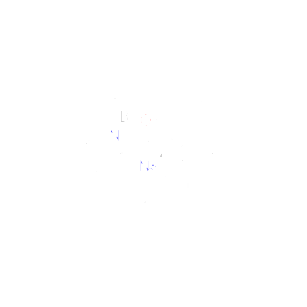 CB1OC(c2ccccc2)(c2ccccc2)[C@@]2(N)CCCN12